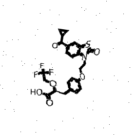 O=C(c1ccc2c(c1)sc(=O)n2CCOc1ccc(C[C@H](OCC(F)(F)F)C(=O)O)cc1)C1CC1